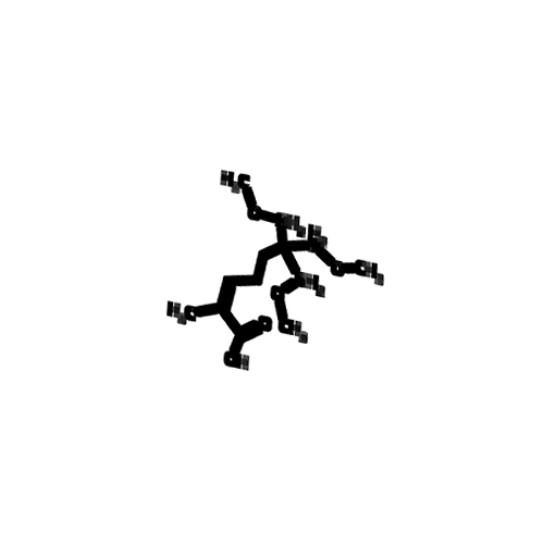 CO[SiH2]C(CCC=C(C)C(=O)O)([SiH2]OC)[SiH2]OC